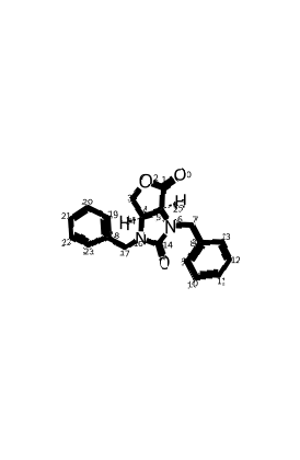 O=C1OC[C@H]2[C@@H]1N(Cc1ccccc1)C(=O)N2Cc1ccccc1